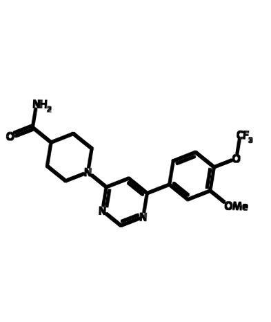 COc1cc(-c2cc(N3CCC(C(N)=O)CC3)ncn2)ccc1OC(F)(F)F